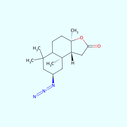 CC1(C)C[C@H](N=[N+]=[N-])C[C@@]2(C)C1CC[C@@]1(C)OC(=O)C[C@@H]12